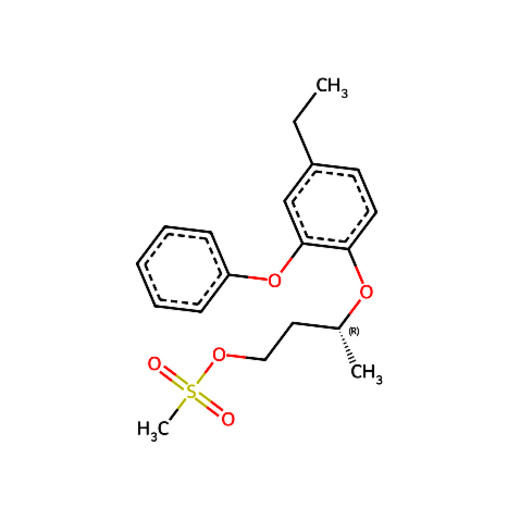 CCc1ccc(O[C@H](C)CCOS(C)(=O)=O)c(Oc2ccccc2)c1